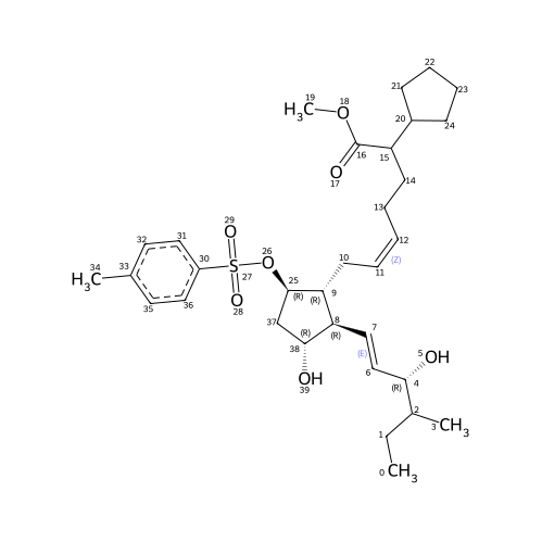 CCC(C)[C@@H](O)/C=C/[C@@H]1[C@@H](C/C=C\CCC(C(=O)OC)C2CCCC2)[C@H](OS(=O)(=O)c2ccc(C)cc2)C[C@H]1O